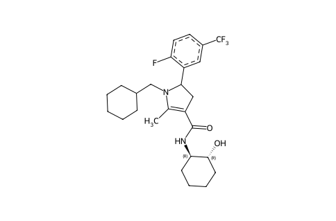 CC1=C(C(=O)N[C@@H]2CCCC[C@H]2O)CC(c2cc(C(F)(F)F)ccc2F)N1CC1CCCCC1